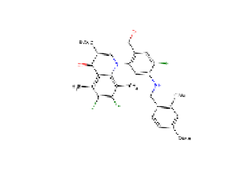 Bc1c(F)c(F)c(C)c2c1c(=O)c(C(=O)OCC)cn2-c1cc(NCc2ccc(OC)cc2OC)c(F)cc1CO